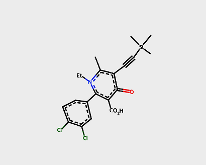 CCn1c(C)c(C#C[Si](C)(C)C)c(=O)c(C(=O)O)c1-c1ccc(Cl)c(Cl)c1